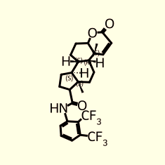 C[C@]12C=CC(=O)OC1CC[C@@H]1[C@H]2CC[C@]2(C)C(C(=O)Nc3cccc(C(F)(F)F)c3C(F)(F)F)CC[C@@H]12